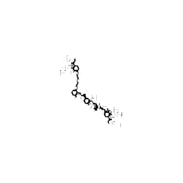 COC(=O)N(CCOc1cc(C(=O)OCc2c(OCCOCCOc3ccc(C(=O)CC(C)(C)C)c(O)c3C)cccc2C(=O)O)ccc1OC)CCOc1ccc(C(=O)CC(C)(C)C)c(O)c1C